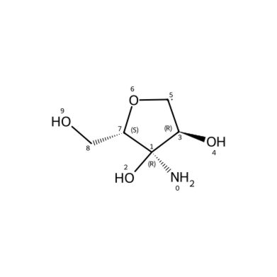 N[C@@]1(O)[C@H](O)[CH]O[C@H]1CO